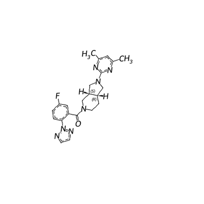 Cc1cc(C)nc(N2C[C@H]3CN(C(=O)c4cc(F)ccc4-n4nccn4)CC[C@H]3C2)n1